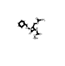 CC(C)(C)OC(=O)NC1C(=O)N(OCc2ccccc2)C1COC(N)=O